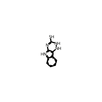 SC1=Nc2[nH]c3ccccc3c2NN1